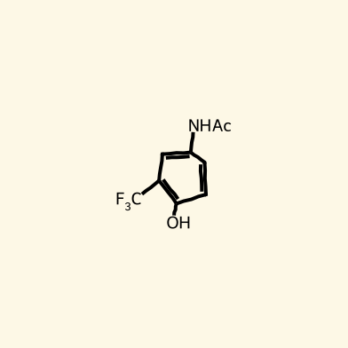 CC(=O)Nc1ccc(O)c(C(F)(F)F)c1